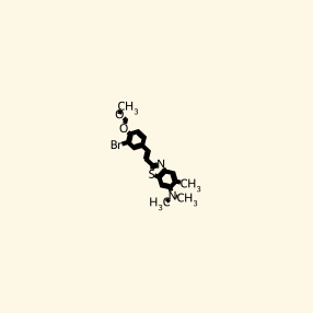 COCOc1ccc(C=Cc2nc3cc(C)c(N(C)C)cc3s2)cc1Br